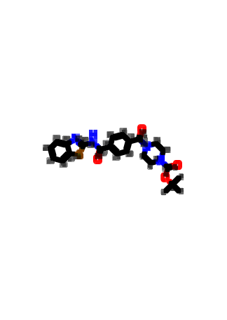 CC(C)(C)OC(=O)N1CCN(C(=O)c2ccc(C(=O)Nc3nc4ccccc4s3)cc2)CC1